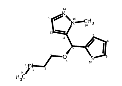 CNCCO[C@H](c1cccs1)c1ccnn1C